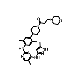 Cc1cc(Nc2nc(Nc3cc(C)c(C4CCN(C(=O)CCN5CCOCC5)CC4)cc3C)ncc2C)n[nH]1